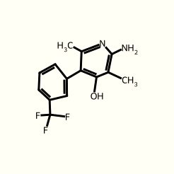 Cc1nc(N)c(C)c(O)c1-c1cccc(C(F)(F)F)c1